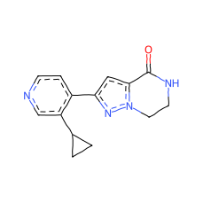 O=C1NCCn2nc(-c3ccncc3C3CC3)cc21